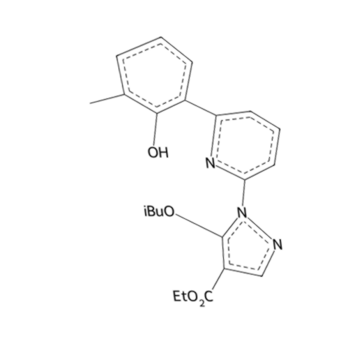 CCOC(=O)c1cnn(-c2cccc(-c3cccc(C)c3O)n2)c1OCC(C)C